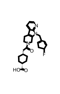 O=C(C[C@H]1CC[C@@H](C(=O)O)CC1)N1CCc2c(n(CC3=CCC(F)C=C3)c3ncccc23)C1